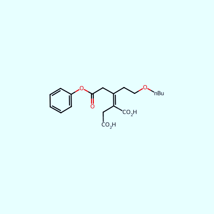 CCCCOCCC(CC(=O)Oc1ccccc1)=C(CC(=O)O)C(=O)O